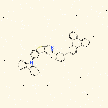 C1=Cc2c(n(-c3ccc4sc5cnc(-c6cccc(-c7ccc8c9ccccc9c9ccccc9c8c7)c6)cc5c4c3)c3ccccc23)CC1